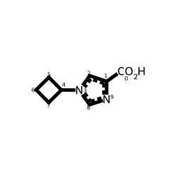 O=C(O)c1cn(C2CCC2)cn1